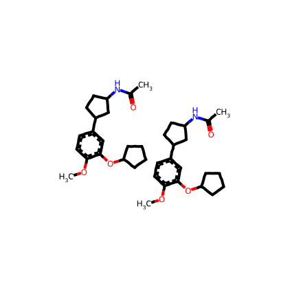 COc1ccc(C2CCC(NC(C)=O)C2)cc1OC1CCCC1.COc1ccc(C2CCC(NC(C)=O)C2)cc1OC1CCCC1